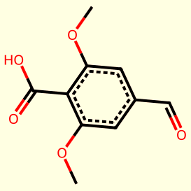 COc1cc(C=O)cc(OC)c1C(=O)O